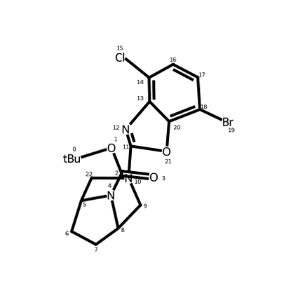 CC(C)(C)OC(=O)N1C2CCC1CN(c1nc3c(Cl)ccc(Br)c3o1)C2